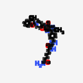 CC(CC(=O)N1CCC(O)(Cn2cnc3c(-c4ccc(CNCC(=O)NCCCCCC(N)=O)cc4)n(C)nc3c2=O)CC1)c1ccccc1